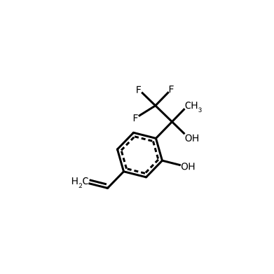 C=Cc1ccc(C(C)(O)C(F)(F)F)c(O)c1